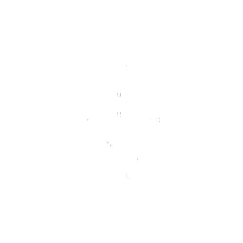 CCOC1C(O)N(N2C=COC2)C(=O)N1C